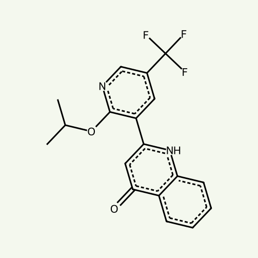 CC(C)Oc1ncc(C(F)(F)F)cc1-c1cc(=O)c2ccccc2[nH]1